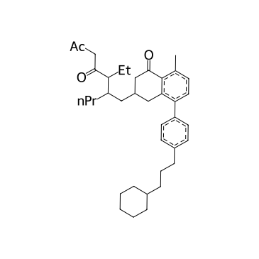 CCCC(CC1CC(=O)c2c(C)ccc(-c3ccc(CCCC4CCCCC4)cc3)c2C1)C(CC)C(=O)CC(C)=O